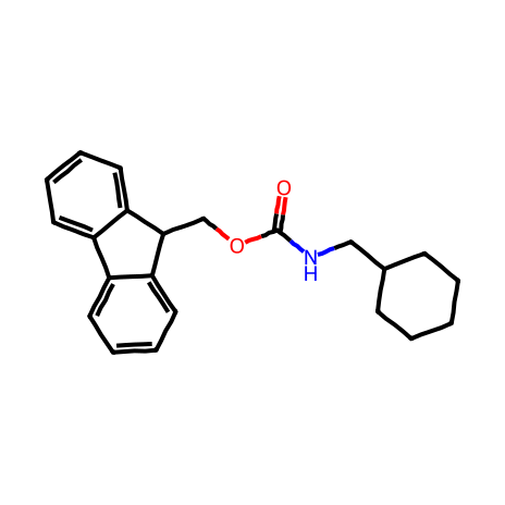 O=C(NCC1CCCCC1)OCC1c2ccccc2-c2ccccc21